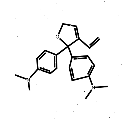 C=CC1=CCOC1(c1ccc(N(C)C)cc1)c1ccc(N(C)C)cc1